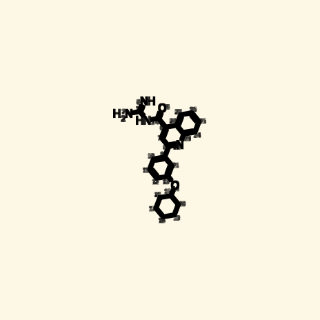 N=C(N)NC(=O)c1cc(-c2cccc(OC3CCCCC3)c2)nc2ccccc12